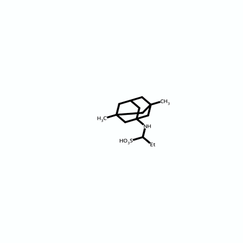 CCC(NC12CC3CC(C)(CC(C)(C3)C1)C2)S(=O)(=O)O